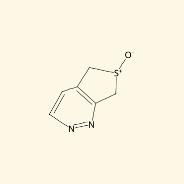 [O-][S+]1Cc2ccnnc2C1